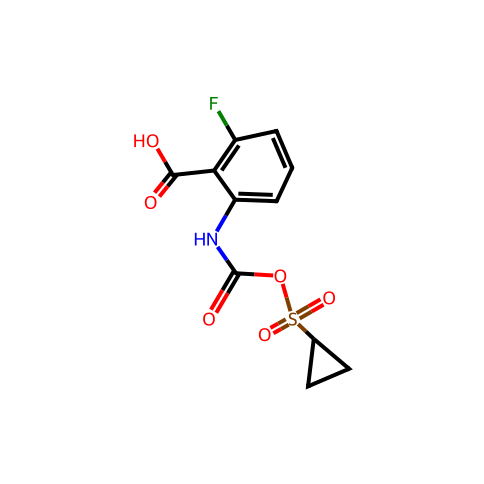 O=C(Nc1cccc(F)c1C(=O)O)OS(=O)(=O)C1CC1